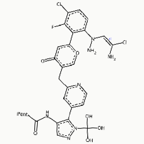 CCCC(C)C(=O)Nc1cnn(C(O)(O)O)c1-c1ccnc(Cc2coc(-c3c(N(N)/C=C(\N)Cl)ccc(Cl)c3F)cc2=O)c1